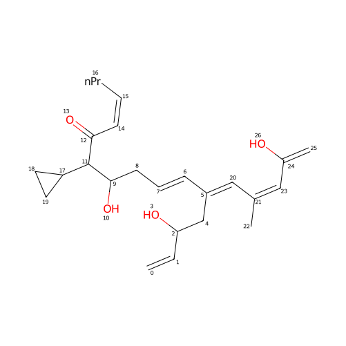 C=CC(O)CC(/C=C/CC(O)C(C(=O)/C=C\CCC)C1CC1)=C\C(C)=C/C(=C)O